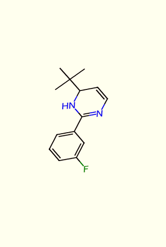 CC(C)(C)C1C=CN=C(c2cccc(F)c2)N1